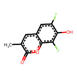 Cc1cc2cc(F)c(O)c(F)c2oc1=O